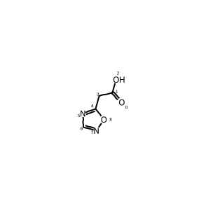 O=C(O)Cc1ncno1